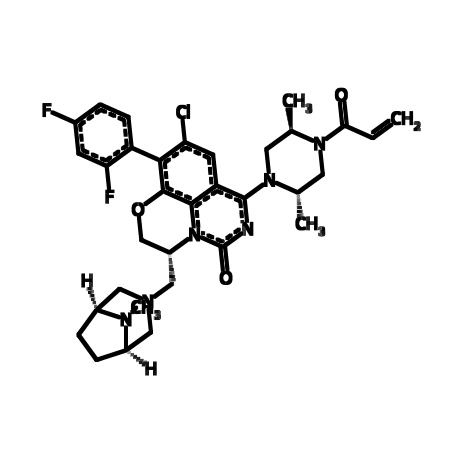 C=CC(=O)N1C[C@H](C)N(c2nc(=O)n3c4c(c(-c5ccc(F)cc5F)c(Cl)cc24)OC[C@H]3CN2C[C@H]3CC[C@@H](C2)N3C)C[C@H]1C